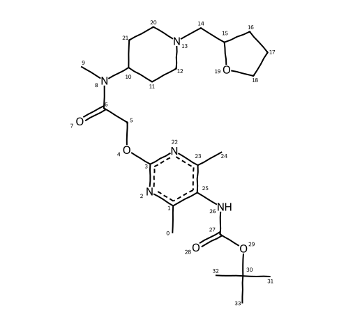 Cc1nc(OCC(=O)N(C)C2CCN(CC3CCCO3)CC2)nc(C)c1NC(=O)OC(C)(C)C